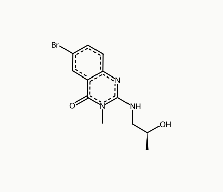 C[C@H](O)CNc1nc2ccc(Br)cc2c(=O)n1C